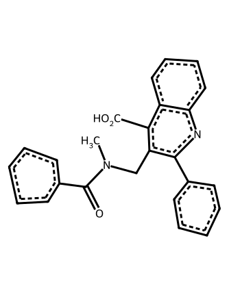 CN(Cc1c(-c2ccccc2)nc2ccccc2c1C(=O)O)C(=O)c1ccccc1